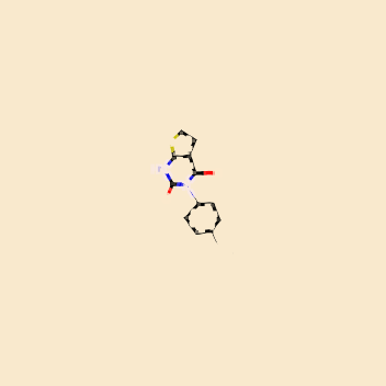 Cc1ccc(-n2c(=O)[nH]c3sccc3c2=O)cc1